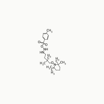 Cc1ccc(S(=O)(=O)ONNCCC(C)(C)CON2C(C)(C)CCCC2(C)C)cc1